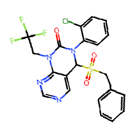 O=C1N(CC(F)(F)F)c2ncncc2C(S(=O)(=O)Cc2ccccc2)N1c1ccccc1Cl